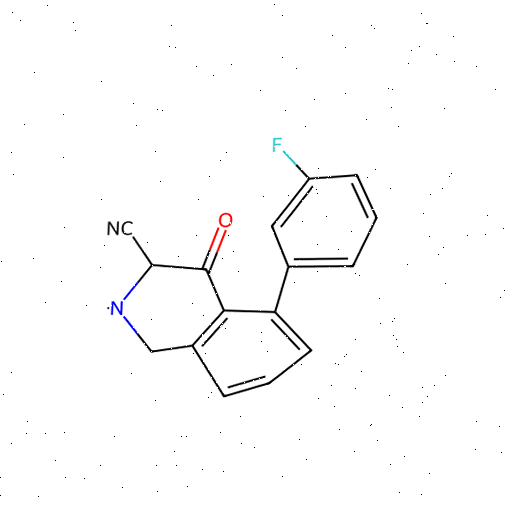 N#CC1[N]Cc2cccc(-c3cccc(F)c3)c2C1=O